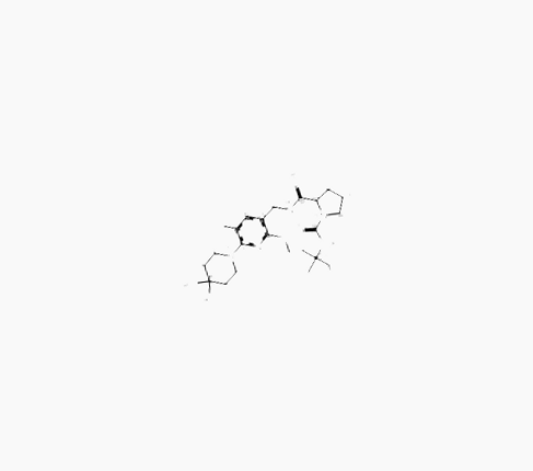 COc1nc(N2CCC(F)(F)CC2)c(F)cc1CNC(=O)C1CCCN1C(=O)OC(C)(C)C